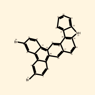 Brc1ccc2c(c1)c1cc(Br)ccc1c1cc3c(ccc4[nH]c5ccccc5c43)cc21